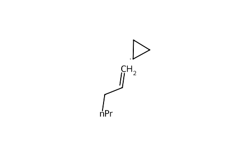 [CH2]CCCC=C.[CH]1CC1